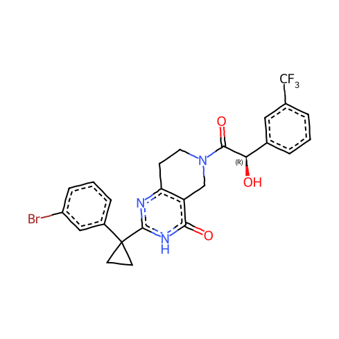 O=C([C@H](O)c1cccc(C(F)(F)F)c1)N1CCc2nc(C3(c4cccc(Br)c4)CC3)[nH]c(=O)c2C1